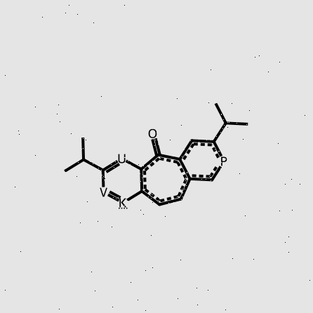 CC(C)[C]1=[U][c]2[c](ccc3cpc(C(C)C)cc3c2=O)[K]=[V]1